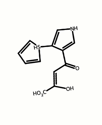 O=C(O)C(O)=CC(=O)c1c[nH]cc1[SH]1C=CC=C1